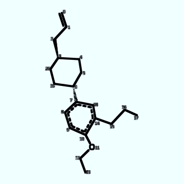 C=CC[C@H]1CC[C@H](c2ccc(OCC)c(CCC)c2)CC1